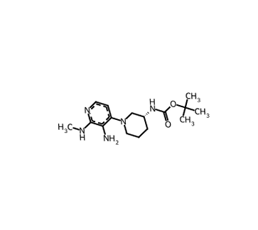 CNc1nccc(N2CCC[C@@H](NC(=O)OC(C)(C)C)C2)c1N